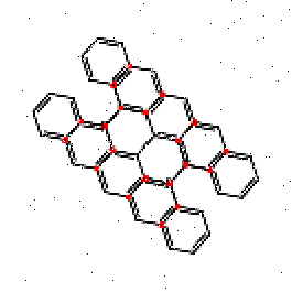 c1ccc(P(c2ccccc2)c2cccc(P(c3ccccc3)c3ccccc3)c2-c2c(P(c3ccccc3)c3ccccc3)cccc2P(c2ccccc2)c2ccccc2)cc1